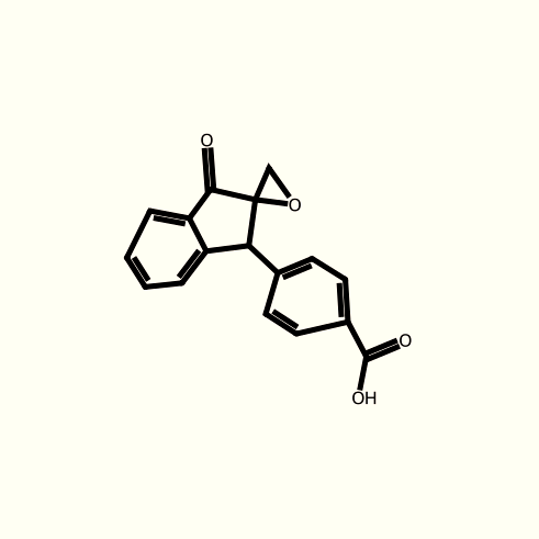 O=C(O)c1ccc(C2c3ccccc3C(=O)C23CO3)cc1